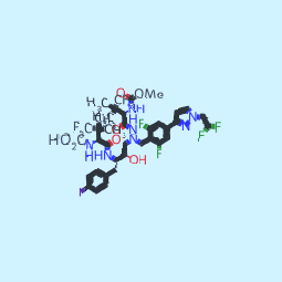 COC(=O)N[C@H](C(=O)NN(Cc1c(F)cc(-c2ccn(CC(F)F)n2)cc1F)C[C@H](O)[C@H](Cc1ccc(I)cc1)NC(=O)[C@@H](NC(=O)O)C(C)(C)C(F)(F)F)C(C)(C)C(F)(F)F